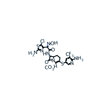 Nc1nc(/C(=N/O)C(=O)N[C@@H]2C(=O)N3C(C(=O)O)=C(Sc4cnc(N)c(C(F)(F)F)c4)CCC23)c(Cl)s1